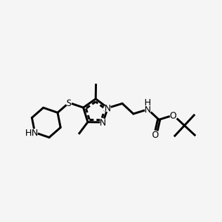 Cc1nn(CCNC(=O)OC(C)(C)C)c(C)c1SC1CCNCC1